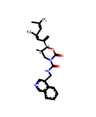 C=C(/C=C(\C=C(/C)C(F)(F)F)C(F)(F)F)[C@H]1OC(=O)N(C(=O)NCc2cncc3ccccc23)C[C@H]1C